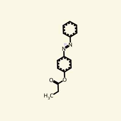 CCC(=O)Oc1ccc(/N=N/c2ccccc2)cc1